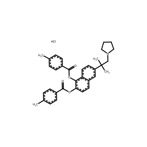 Cc1ccc(C(=O)Oc2ccc3cc(C(C)(C)CN4CCCC4)ccc3c2OC(=O)c2ccc(C)cc2)cc1.Cl